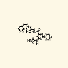 O=C(NCC(O)CN1CCc2ccccc2C1)c1cc(NC2CNC2)nc(N2CCOCC2)n1